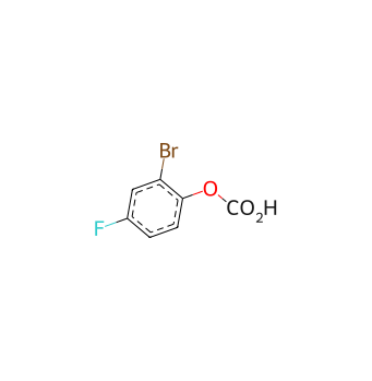 O=C(O)Oc1ccc(F)cc1Br